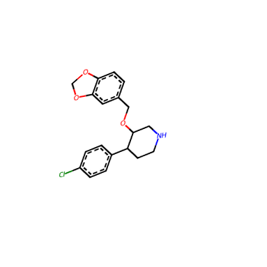 Clc1ccc(C2CCNCC2OCc2ccc3c(c2)OCO3)cc1